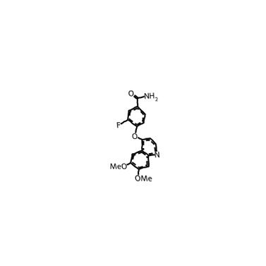 COc1cc2nccc(Oc3ccc(C(N)=O)cc3F)c2cc1OC